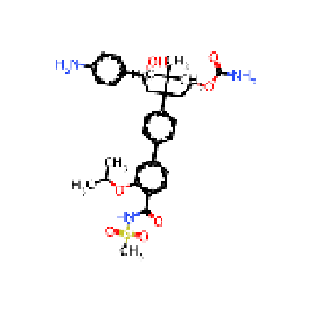 CC(C)Oc1cc(-c2ccc(C(CCOC(N)=O)(C[C@@H](O)c3ccc(N)cc3)C(C)(C)C)cc2)ccc1C(=O)NS(C)(=O)=O